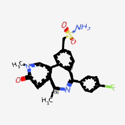 C[C@@H]1N=C(c2ccc(F)cc2)c2ccc(CS(N)(=O)=O)cc2-c2cn(C)c(=O)cc21